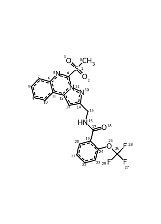 CS(=O)(=O)c1nc2ccccc2c2cc(CNC(=O)c3ccccc3OC(F)(F)F)nn12